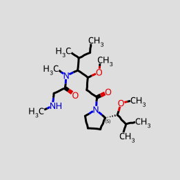 CCC(C)C(C(CC(=O)N1CCC[C@H]1C(OC)C(C)C)OC)N(C)C(=O)CNC